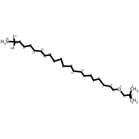 C=C(C)COCCCCCCCCCCCCCCCCCCCCC([SiH3])(I)I